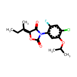 CCC(C)=C1OC(=O)N(c2cc(OC(C)C)c(Cl)cc2F)C1=O